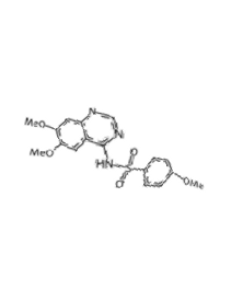 COc1ccc(S(=O)(=O)Nc2ncnc3cc(OC)c(OC)cc23)cc1